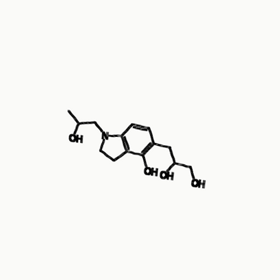 CC(O)CN1CCc2c1ccc(CC(O)CO)c2O